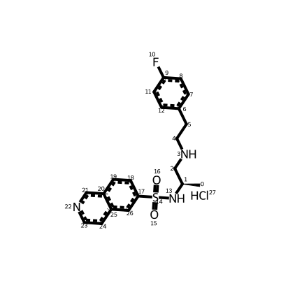 C[C@H](CNCCc1ccc(F)cc1)NS(=O)(=O)c1ccc2cnccc2c1.Cl